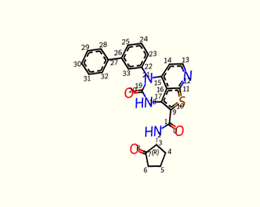 O=C(N[C@@H]1CCCC1=O)c1sc2nccc3c2c1NC(=O)N3c1cccc(-c2ccccc2)c1